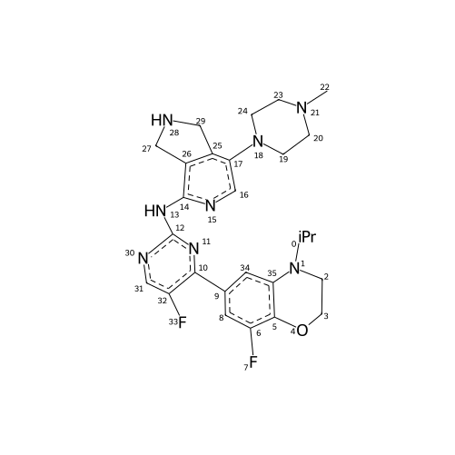 CC(C)N1CCOc2c(F)cc(-c3nc(Nc4ncc(N5CCN(C)CC5)c5c4CNC5)ncc3F)cc21